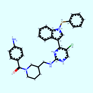 Nc1ccc(C(=O)N2CCCC(CNc3ncc(Cl)c(-c4cn(Sc5ccccc5)c5ccccc45)n3)C2)cc1